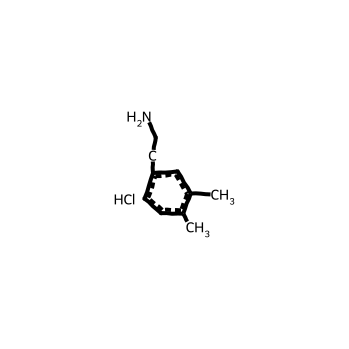 Cc1ccc(CCN)cc1C.Cl